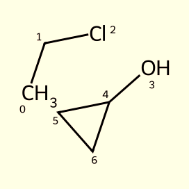 CCCl.OC1CC1